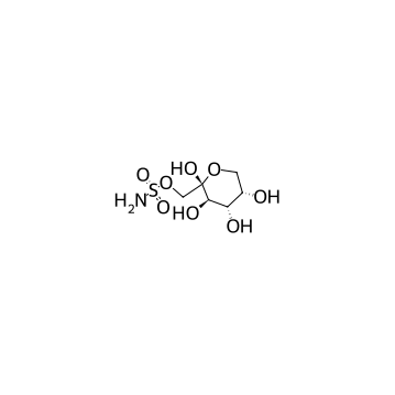 NS(=O)(=O)OC[C@]1(O)OC[C@H](O)[C@H](O)[C@H]1O